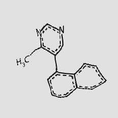 Cc1ncncc1-c1cccc2ccccc12